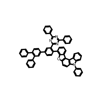 c1ccc(-c2nc(-c3ccccc3)nc(-c3cc(-c4ccc(-c5ccccc5)c(-c5ccccc5)c4)ccc3-c3cccc4c3oc3ccc5c(c6ccccc6n5-c5ccccc5)c34)n2)cc1